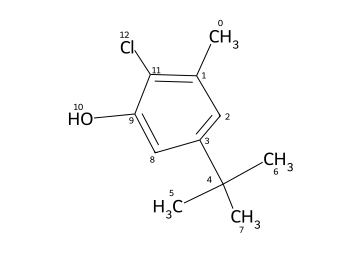 Cc1cc(C(C)(C)C)cc(O)c1Cl